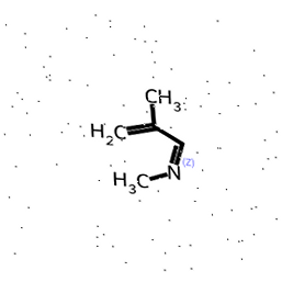 C=C(C)/C=N\C